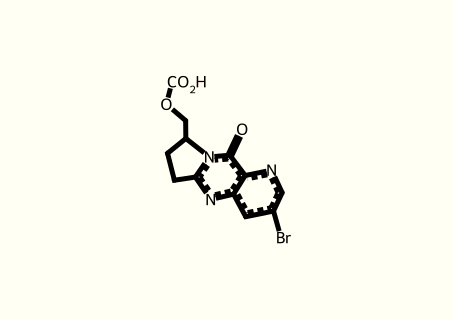 O=C(O)OCC1CCc2nc3cc(Br)cnc3c(=O)n21